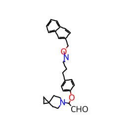 O=CC(Oc1ccc(CCC=NOCc2ccc3ccccc3c2)cc1)N1CCC2(CC1)CC2